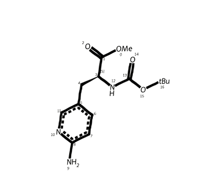 COC(=O)[C@H](Cc1ccc(N)nc1)NC(=O)OC(C)(C)C